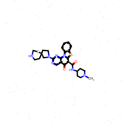 CN1CCC(NC(=O)c2c(=O)c3cnc(N4CCC5(CCNCC5)C4)nc3n3c2sc2ccccc23)CC1